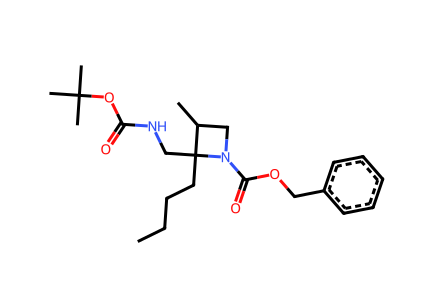 CCCCC1(CNC(=O)OC(C)(C)C)C(C)CN1C(=O)OCc1ccccc1